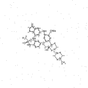 COc1cc2c(cc1Nc1nc(Nc3ccccc3NS(C)(=O)=O)c3cc[nH]c3n1)OC[C@H]1C[C@@H](N3CCN(C)CC3)CCN21